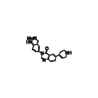 CN/C=C1/C=C(n2cnc3ccc(C4=CCNCC4)cc3c2=O)C=CC1=N